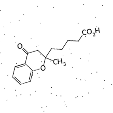 CC1(CCCCC(=O)O)CC(=O)c2ccccc2O1